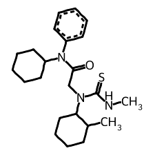 CNC(=S)N(CC(=O)N(c1ccccc1)C1CCCCC1)C1CCCCC1C